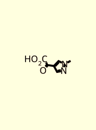 Cn1cc(C(=O)C(=O)O)cn1